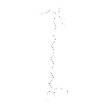 CCOP(=O)(CCOCCOCCOCCP(=O)(OCC)OCC)OCC